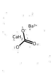 O=C([O-])[O-].[Ba+2].[CaH2]